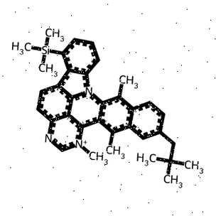 Cc1c2cc(CC(C)(C)C)ccc2c(C)c2c1c1c3c(ccc4c5c([Si](C)(C)C)cccc5n2c43)nc[n+]1C